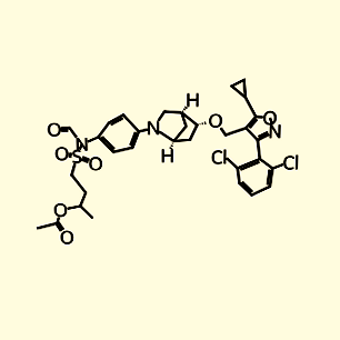 CC(=O)OC(C)CCS(=O)(=O)N(C=O)c1ccc(N2C[C@@H]3C[C@H]2C[C@H]3OCc2c(-c3c(Cl)cccc3Cl)noc2C2CC2)cc1